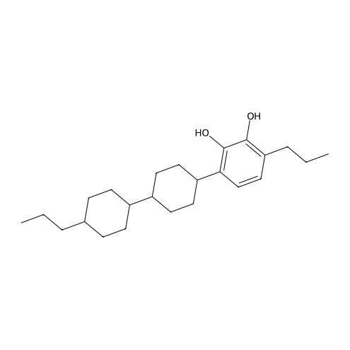 CCCc1ccc(C2CCC(C3CCC(CCC)CC3)CC2)c(O)c1O